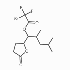 CC(C)CC(C)C(OC(=O)C(F)(F)Br)C1CCC(=O)O1